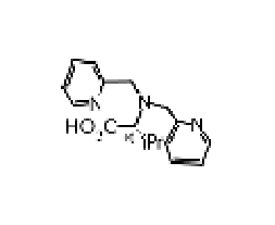 CC(C)[C@H](C(=O)O)N(Cc1ccccn1)Cc1ccccn1